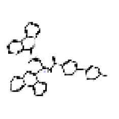 C=C(/N=C(\C=C(/C)c1cc2ccccc2c2ccccc12)c1cc2ccccc2c2ccccc12)c1ccc(-c2ccc(C)cc2)cc1